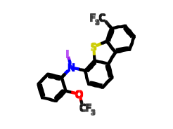 FC(F)(F)Oc1ccccc1N(I)c1cccc2c1sc1c(C(F)(F)F)cccc12